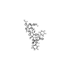 C=C[C@]1(F)[C@H](n2cnc3c(OCC)nc(N)nc32)O[C@](F)(COP(=O)(N[C@@H](C)C(=O)OC2CCCCC2)Oc2ccccc2)[C@H]1O